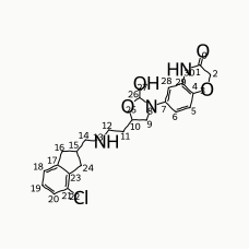 O=C1COc2ccc(N3CC(CCNCC4Cc5cccc(Cl)c5C4)OC3O)cc2N1